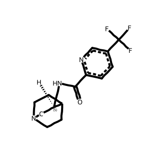 O=C(N[C@@H]1CN2CCC1CC2)c1ccc(C(F)(F)F)cn1